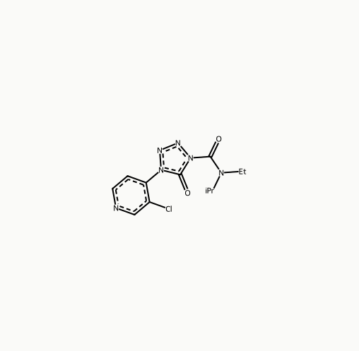 CCN(C(=O)n1nnn(-c2ccncc2Cl)c1=O)C(C)C